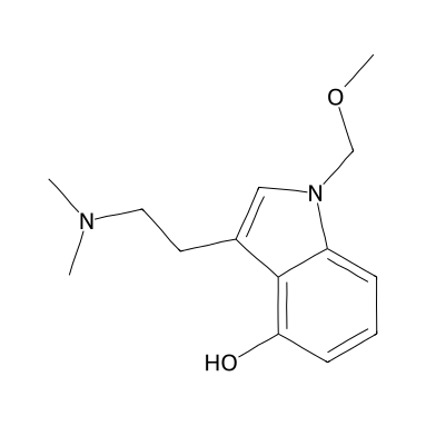 COCn1cc(CCN(C)C)c2c(O)cccc21